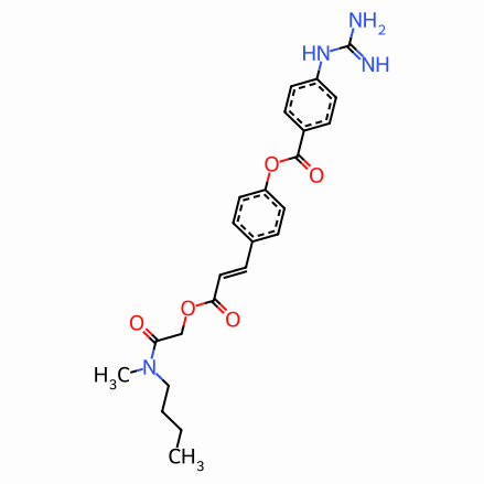 CCCCN(C)C(=O)COC(=O)C=Cc1ccc(OC(=O)c2ccc(NC(=N)N)cc2)cc1